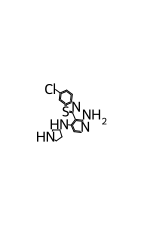 Nc1nccc(NC2CCNC2)c1-c1nc2ccc(Cl)cc2s1